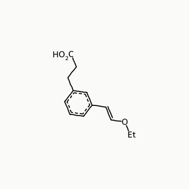 CCO/C=C/c1cccc(CCC(=O)O)c1